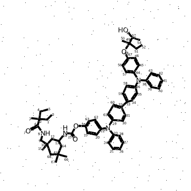 CCC(C)(CC)C(=O)NCC1(C)CC(NC(=O)Oc2ccc(N(c3ccccc3)c3ccc(-c4ccc(N(c5ccccc5)c5ccc(OC(C)(CC)C(C)O)cc5)cc4)cc3)cc2)CC(C)(C)C1